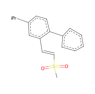 CC(C)c1ccc(-c2ccccc2)c(/C=C/S(C)(=O)=O)c1